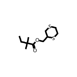 CCC(C)(C)C(=O)OCC1CSCCS1